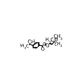 COC(C)(C)C[CH]OOC(=O)c1ccc(C(C)C)cc1